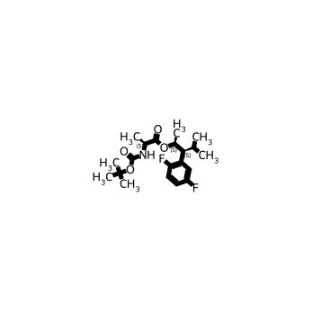 CC(C)[C@@H](c1cc(F)ccc1F)[C@H](C)OC(=O)[C@H](C)NC(=O)OC(C)(C)C